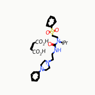 CC(C)N(CCS(=O)(=O)c1ccccc1)C(=O)NCCN1CCN(c2ccccc2)CC1.O=C(O)/C=C\C(=O)O